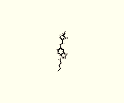 CCCCOn1nnc2cc(CCc3noc(=O)[nH]3)ccc21